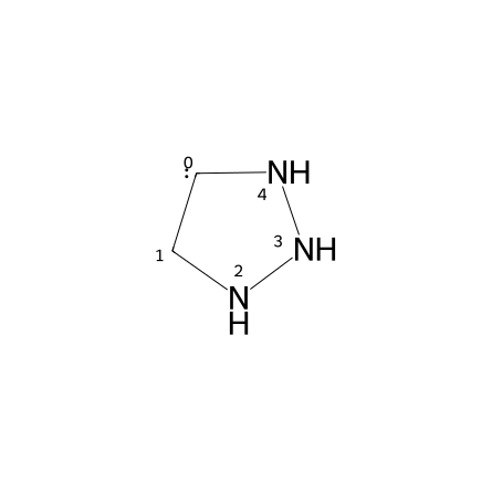 [C]1CNNN1